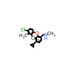 CNCc1ccc(C2CC2)cc1Oc1ccc(Cl)c(C)c1C